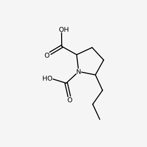 CCCC1CCC(C(=O)O)N1C(=O)O